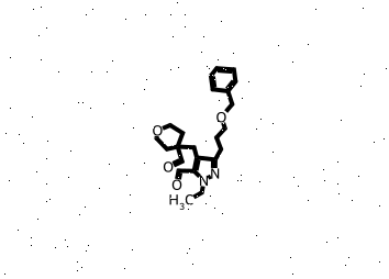 CCn1nc(CCCOCc2ccccc2)c(CC2(C=O)CCOCC2)c1C=O